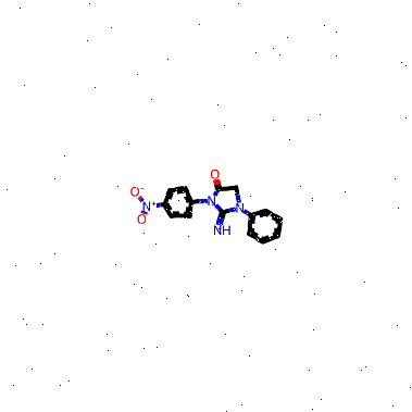 N=C1N(c2ccccc2)CC(=O)N1c1ccc([N+](=O)[O-])cc1